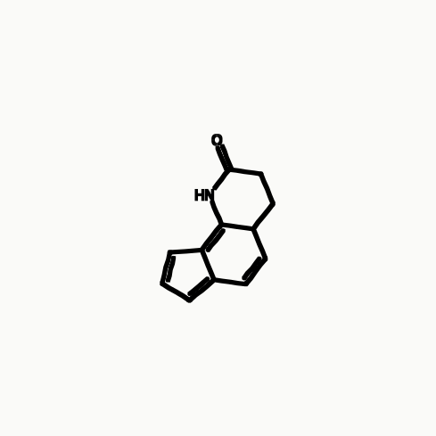 O=C1CCC2C=CC3=CC=CC3=C2N1